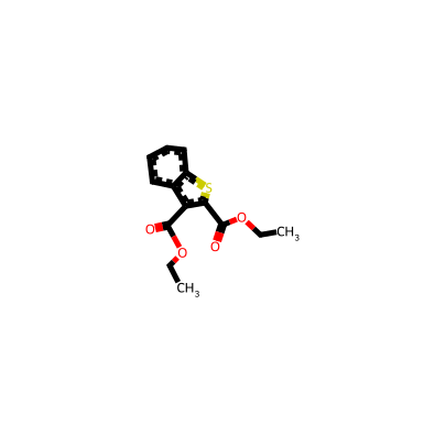 CCOC(=O)c1sc2ccccc2c1C(=O)OCC